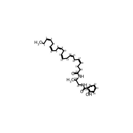 CC/C=C\C/C=C\C/C=C\C/C=C\C/C=C\C/C=C\CCC(=O)NC(C)CNC(=O)c1ccccc1O